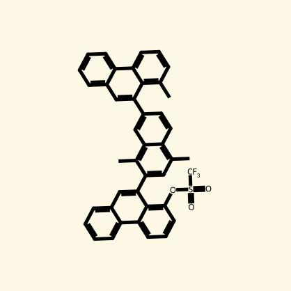 Cc1cc(-c2cc3ccccc3c3cccc(OS(=O)(=O)C(F)(F)F)c23)c(C)c2cc(-c3cc4ccccc4c4cccc(C)c34)ccc12